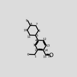 CCc1cc(C2CCC(C)CC2)ccc1C=O